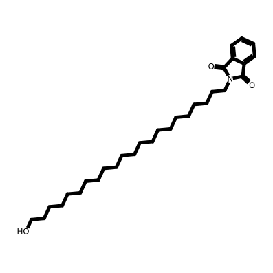 O=C1c2ccccc2C(=O)N1CCCCCCCCCCCCCCCCCCCCCCO